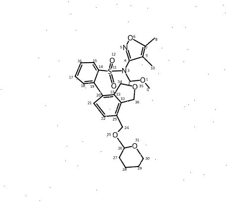 COCN(c1noc(C)c1C)S(=O)(=O)c1ccccc1-c1ccc(COC2CCCCO2)c2c1COC2